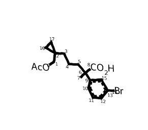 CC(=O)OCC1(CCCC(C)(C(=O)O)c2cccc(Br)c2)CC1